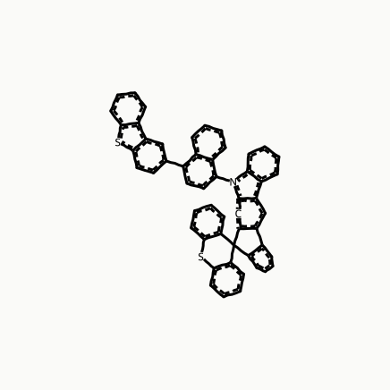 c1ccc2c(c1)Sc1ccccc1C21c2ccccc2-c2cc3c4ccccc4n(-c4ccc(-c5ccc6sc7ccccc7c6c5)c5ccccc45)c3cc21